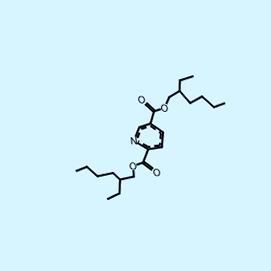 CCCCC(CC)COC(=O)c1ccc(C(=O)OCC(CC)CCCC)nc1